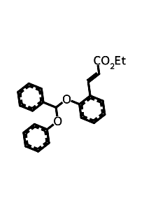 CCOC(=O)C=Cc1ccccc1OC(Oc1ccccc1)c1ccccc1